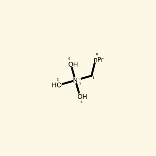 CCCC[N+](O)(O)O